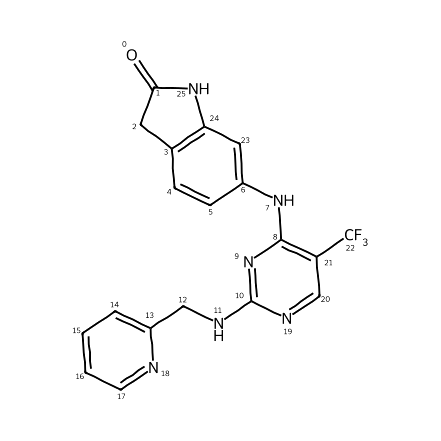 O=C1Cc2ccc(Nc3nc(NCc4ccccn4)ncc3C(F)(F)F)cc2N1